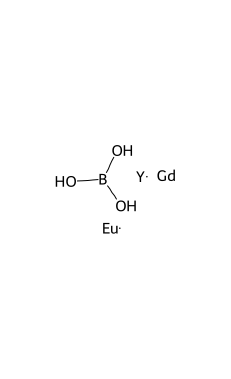 OB(O)O.[Eu].[Gd].[Y]